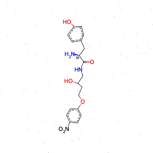 N[C@@H](Cc1ccc(O)cc1)C(=O)NCC(O)CCOc1ccc([N+](=O)[O-])cc1